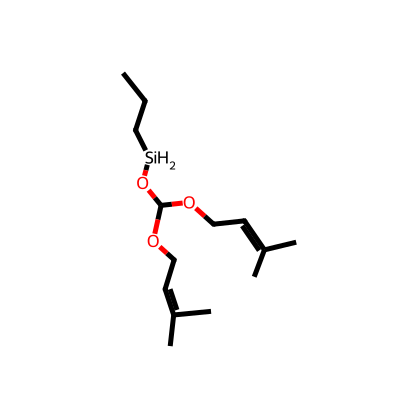 CCC[SiH2]OC(OCC=C(C)C)OCC=C(C)C